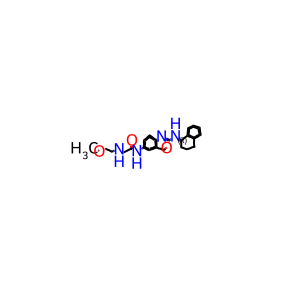 COCCNCC(=O)Nc1ccc2c(c1)COC(N[C@@H]1CCCc3ccccc31)=N2